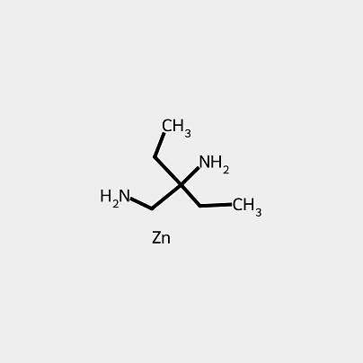 CCC(N)(CC)CN.[Zn]